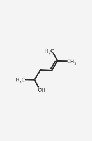 CC(C)=CCC(C)O